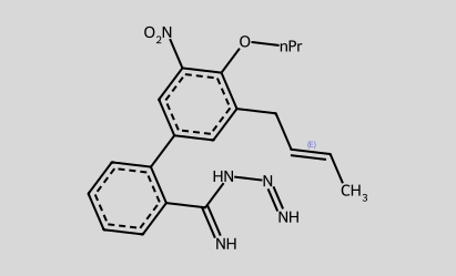 C/C=C/Cc1cc(-c2ccccc2C(=N)NN=N)cc([N+](=O)[O-])c1OCCC